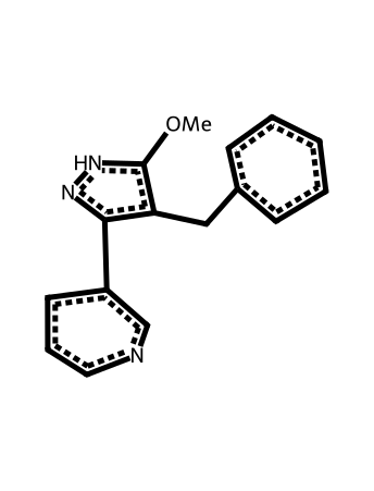 COc1[nH]nc(-c2cccnc2)c1Cc1ccccc1